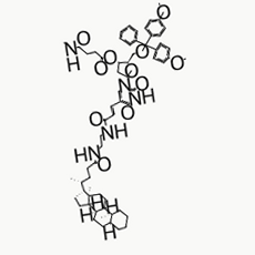 CNC(=O)CCC(=O)OC1C[C@H](n2cc(/C=C/C(=O)NCCNC(=O)CC[C@@H](C)[C@H]3CC[C@H]4[C@@H]5CC[C@@H]6CCCC[C@]6(C)[C@H]5CC[C@]34C)c(=O)[nH]c2=O)O[C@@H]1COC(c1ccccc1)(c1ccc(OC)cc1)c1ccc(OC)cc1